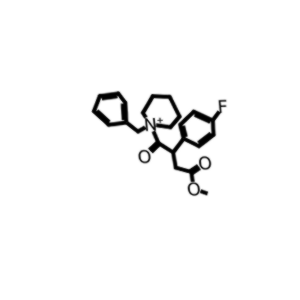 COC(=O)CC(C(=O)[N+]1(Cc2ccccc2)CCCCC1)c1ccc(F)cc1